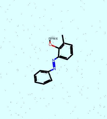 CCCCCCOc1c(C)cccc1N=Nc1ccccc1